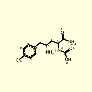 NC(=O)C(C[C@H](N)Cc1ccc(Cl)cc1)NC(=O)O